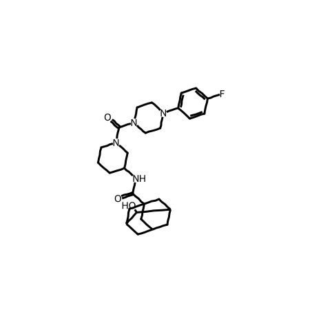 O=C(N1CCN(c2ccc(F)cc2)CC1)N1CCCC(NC(=O)C23CC4CC(C2)C(O)C(C4)C3)C1